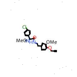 C#CCOc1ccc(CCNC(=O)C(=NOC)c2ccc(Cl)cc2)cc1OC